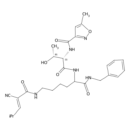 Cc1cc(C(=O)N[C@H](C(=O)NC(CCCCNC(=O)C(C#N)=CC(C)C)C(=O)NCc2ccccc2)[C@@H](C)O)no1